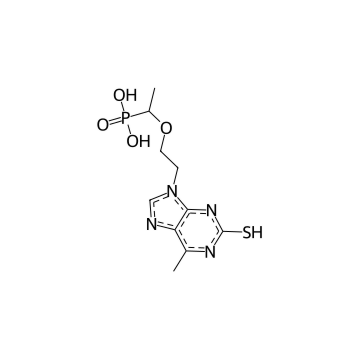 Cc1nc(S)nc2c1ncn2CCOC(C)P(=O)(O)O